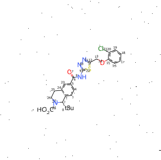 CC(C)(C)C1c2ccc(C(=O)Nc3nnc(COc4ccccc4Cl)s3)cc2CCN1C(=O)O